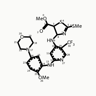 COC(=O)C1SC(SC)=NC1Nc1cc(Nc2cc(N3CCOCC3)ccc2OC)ncc1C(F)(F)F